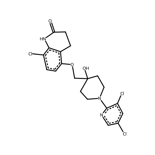 O=C1CCc2c(OCC3(O)CCN(c4ncc(Cl)cc4Cl)CC3)ccc(Cl)c2N1